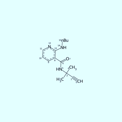 C#CC(C)(C)NC(=O)c1cccnc1NCCCC